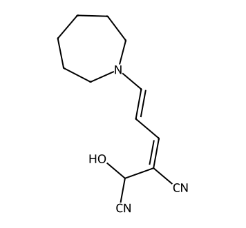 N#CC(=CC=CN1CCCCCC1)C(O)C#N